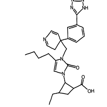 CCCCc1cn(C2C(CC)CC2C(=O)O)c(=O)n1CC1(c2cccc(-c3nnn[nH]3)c2)C=CN=CC1